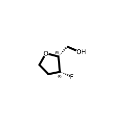 OC[C@H]1OCC[C@H]1F